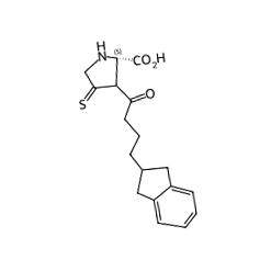 O=C(CCCC1Cc2ccccc2C1)C1C(=S)CN[C@@H]1C(=O)O